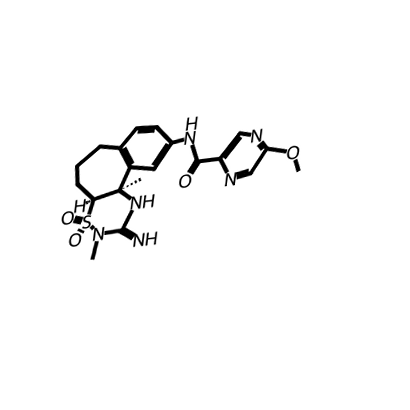 COc1cnc(C(=O)Nc2ccc3c(c2)[C@@]2(C)NC(=N)N(C)S(=O)(=O)[C@H]2CCC3)cn1